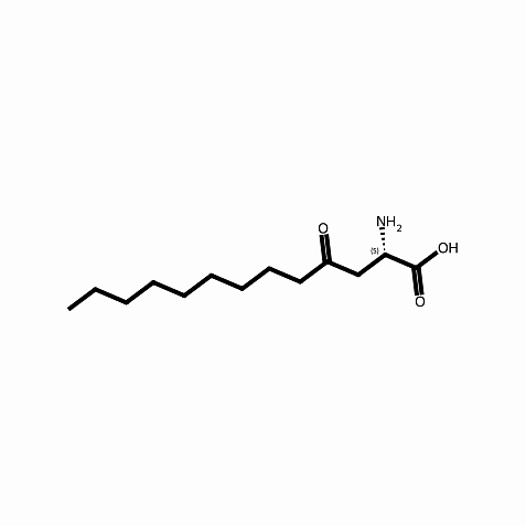 CCCCCCCCCC(=O)C[C@H](N)C(=O)O